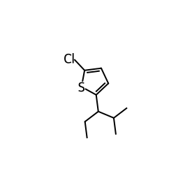 CCC(c1ccc(Cl)s1)C(C)C